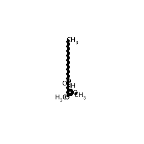 CCCCCCCCCCCCCCCCCCOC(=O)NCc1cc(OC)cc(OC)c1